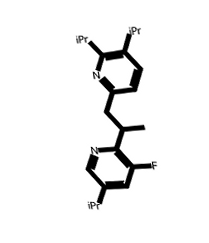 CC(C)c1cnc(C(C)Cc2ccc(C(C)C)c(C(C)C)n2)c(F)c1